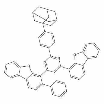 c1ccc(-c2ccc3c(oc4ccccc43)c2-c2cc(-c3cccc4c3oc3ccccc34)nc(-c3ccc(C45CC6CC(CC(C6)C4)C5)cc3)n2)cc1